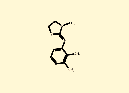 Cc1cccc(N=C2SCCN2C)c1C